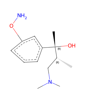 C[C@H](CN(C)C)[C@@](C)(O)c1cccc(ON)c1